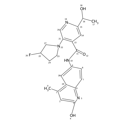 Cc1cc(O)nc2ccc(NC(=O)c3cc(C(C)O)ncc3N3CCC(F)C3)cc12